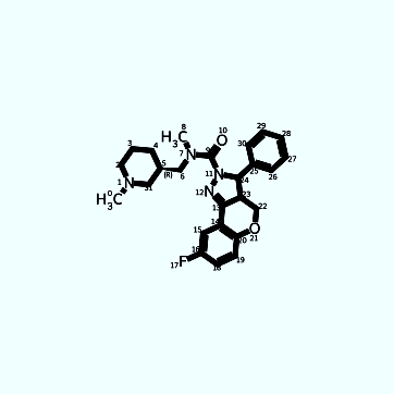 CN1CCC[C@@H](CN(C)C(=O)N2N=C3c4cc(F)ccc4OCC3C2c2ccccc2)C1